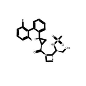 CS(=O)(=O)N[C@@H](CO)[C@@H]1CCN1C(=O)[C@@H]1C[C@@]1(F)c1ccccc1-c1c(F)cccc1F